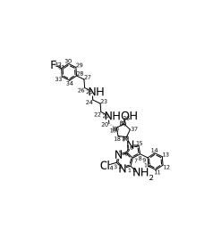 Nc1nc(Cl)nc2c1c(-c1ccccc1)cn2[C@@H]1C[C@H](CNCCCNCCc2ccc(F)cc2)[C@@H](O)C1